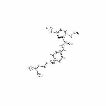 COc1ccc(OC)c(C(=O)/C=C/c2ccc(NCCCN(C)C)cc2)c1